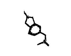 CN(C)Cc1ccc2c(c1)CN(I)C2